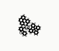 c1ccc(C2(c3ccccc3)c3ccccc3-c3c(-c4nc(-c5cccc(-c6cccc7ccc8ccccc8c67)c5)nc(-c5cccc6oc7ccccc7c56)n4)cccc32)cc1